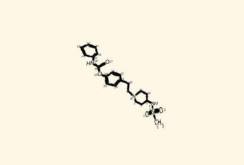 CS(=O)(=O)NC1CCN(CCc2ccc(OC(=O)Nc3ccccc3)cc2)CC1